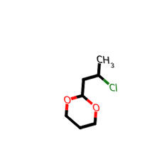 CC(Cl)CC1OCCCO1